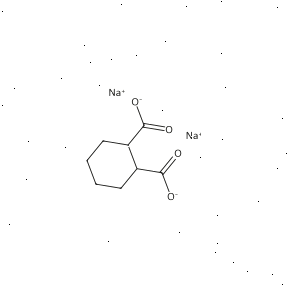 O=C([O-])C1CCCCC1C(=O)[O-].[Na+].[Na+]